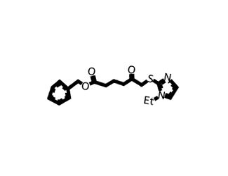 CCn1ccnc1SCC(=O)CCCC(=O)OCc1ccccc1